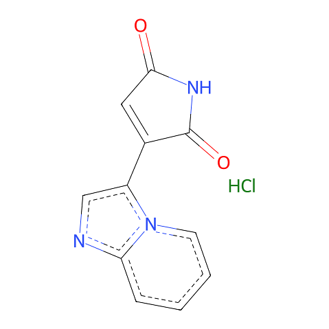 Cl.O=C1C=C(c2cnc3ccccn23)C(=O)N1